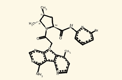 Cc1ccnc2c3c(N)ncnc3n(CC(=O)N3[C@H](C)[C@@H](C)C[C@H]3C(=O)Nc3cccc(Br)n3)c12